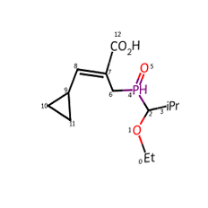 CCOC(C(C)C)[PH](=O)CC(=CC1CC1)C(=O)O